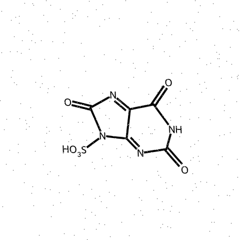 O=C1N=C2C(=NC(=O)N2S(=O)(=O)O)C(=O)N1